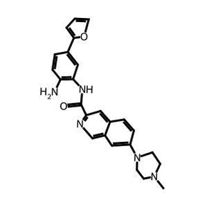 CN1CCN(c2ccc3cc(C(=O)Nc4cc(-c5ccco5)ccc4N)ncc3c2)CC1